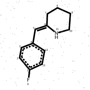 Fc1ccc(/C=C2/CCCCN2)cc1